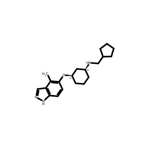 Cc1c(O[C@@H]2CCC[C@H](NCC3CCCC3)C2)ccc2[nH]ncc12